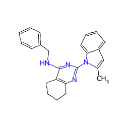 Cc1cc2ccccc2n1-c1nc2c(c(NCc3ccccc3)n1)CCCC2